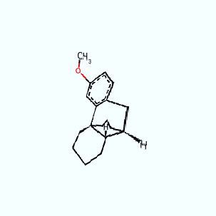 COc1ccc2c(c1)[C@@]13CCCC[C@H]1[C@H](CCC3)C2